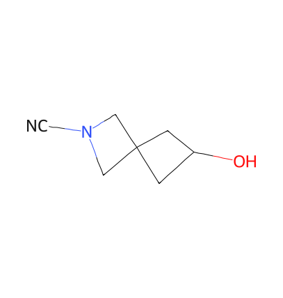 N#CN1CC2(CC(O)C2)C1